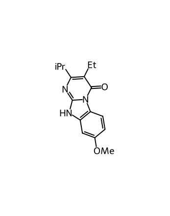 CCc1c(C(C)C)nc2[nH]c3cc(OC)ccc3n2c1=O